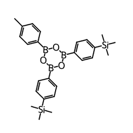 Cc1ccc(B2OB(c3ccc([Si](C)(C)C)cc3)OB(c3ccc([Si](C)(C)C)cc3)O2)cc1